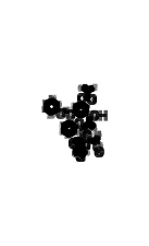 C=C(C)C(=O)Oc1cccc(OCOC2CCCCC2)c1.C=C(CO)C(=O)Oc1ccccc1.CC(=C=O)C(=O)OC1C2CC3COC1C3O2